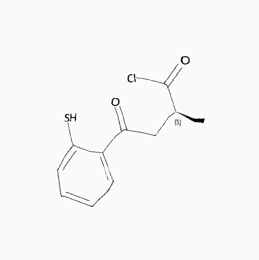 C[C@@H](CC(=O)c1ccccc1S)C(=O)Cl